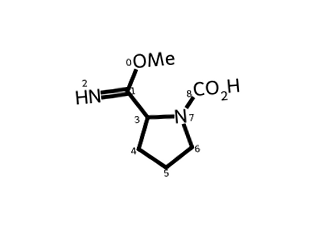 COC(=N)C1CCCN1C(=O)O